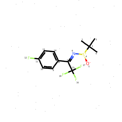 CC(C)(C)[S@@+]([O-])N=C(c1ccc(F)cc1)C(F)(F)F